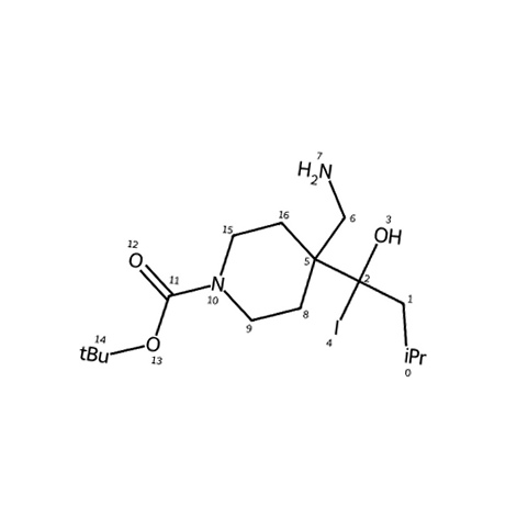 CC(C)CC(O)(I)C1(CN)CCN(C(=O)OC(C)(C)C)CC1